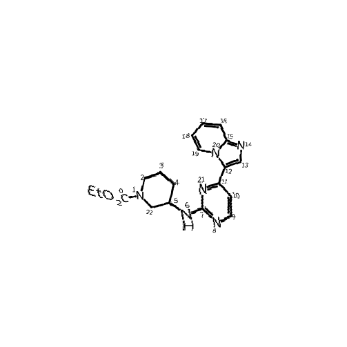 CCOC(=O)N1CCCC(Nc2nccc(-c3cnc4ccccn34)n2)C1